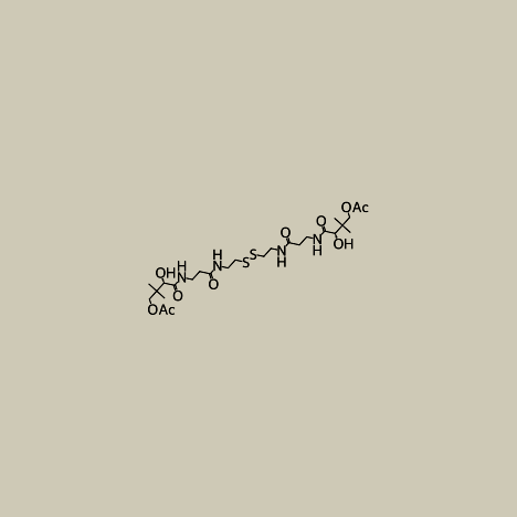 CC(=O)OCC(C)(C)[C@@H](O)C(=O)NCCC(=O)NCCSSCCNC(=O)CCNC(=O)[C@H](O)C(C)(C)COC(C)=O